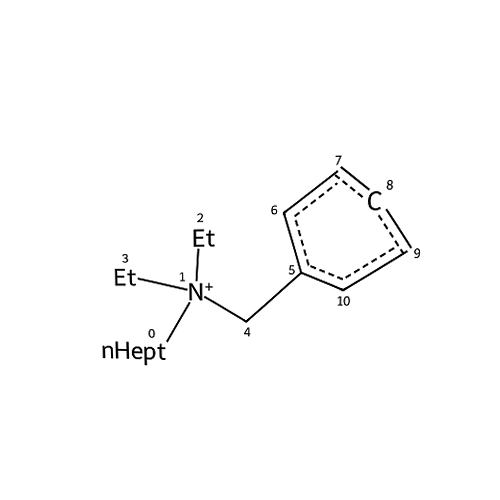 CCCCCCC[N+](CC)(CC)Cc1ccccc1